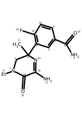 CCN1CC(C)(c2cc(C(N)=O)ccc2F)N=C(N)C1=O